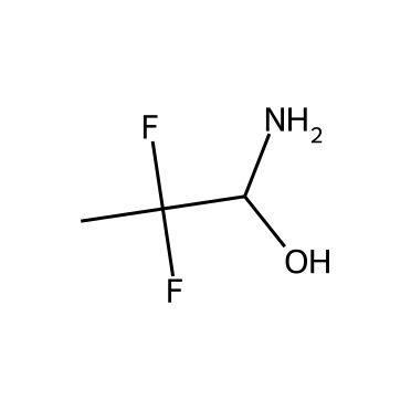 CC(F)(F)C(N)O